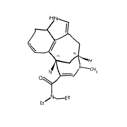 CCN(CC)C(=O)C1=CN(C)[C@H]2CC3=CNC4CC=CC(=C34)[C@@H]1C2